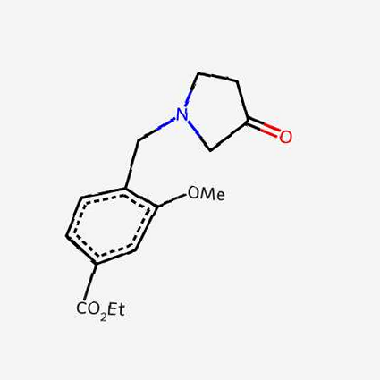 CCOC(=O)c1ccc(CN2CCC(=O)C2)c(OC)c1